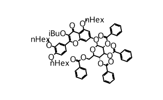 CCCCCCOc1ccc(-c2oc3cc(O[C@@H]4OC(COC(=O)c5ccccc5)[C@@H](OC(=O)c5ccccc5)C(OC(=O)c5ccccc5)[C@@H]4OC(=O)c4ccccc4)cc(OCCCCCC)c3c(=O)c2OCC(C)C)cc1OCCCCCC